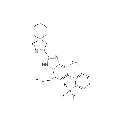 Cc1c(-c2ccccc2C(F)(F)F)cc(C)c2[nH]c(C3=NOC4(CCCCC4)C3)nc12.Cl